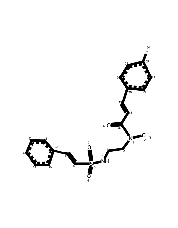 CN(CCNS(=O)(=O)C=Cc1ccccc1)C(=O)C=Cc1ccc(F)cc1